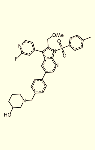 COCc1c(-c2ccnc(F)c2)c2cc(-c3ccc(CN4CCCC(O)C4)cc3)cnc2n1S(=O)(=O)c1ccc(C)cc1